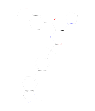 Cn1ncc2ccc(-c3ccc(C(F)(F)C(=O)N[C@H](CN4CCCC4)[C@H](O)c4ccc5c(c4)OCCO5)cc3)cc21